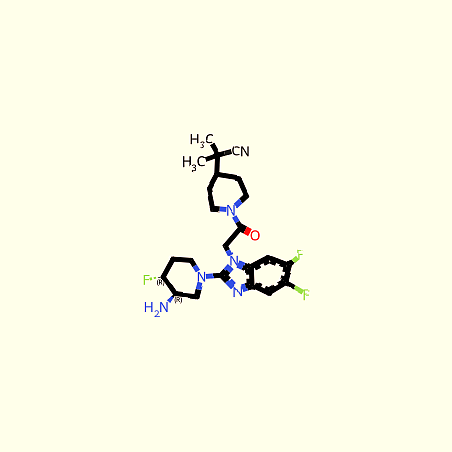 CC(C)(C#N)C1CCN(C(=O)Cn2c(N3CC[C@@H](F)[C@H](N)C3)nc3cc(F)c(F)cc32)CC1